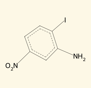 Nc1cc([N+](=O)[O-])ccc1I